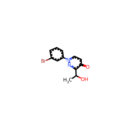 CC(O)c1nn(-c2cccc(Br)c2)ccc1=O